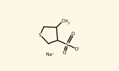 CC1CSCC1S(=O)(=O)[O-].[Na+]